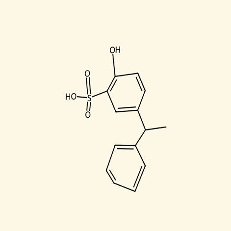 CC(c1ccccc1)c1ccc(O)c(S(=O)(=O)O)c1